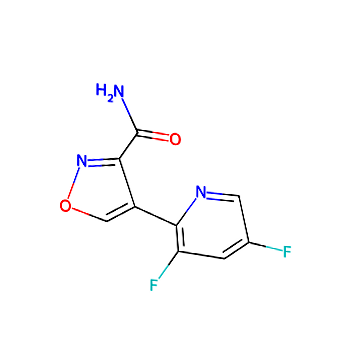 NC(=O)c1nocc1-c1ncc(F)cc1F